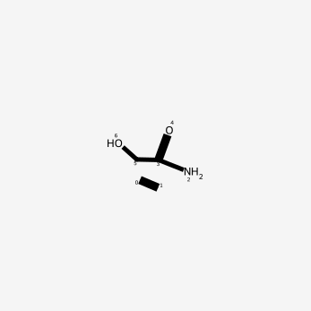 C=C.NC(=O)CO